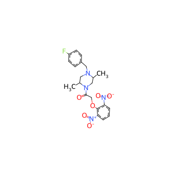 CC1CN(C(=O)COc2c([N+](=O)[O-])cccc2[N+](=O)[O-])C(C)CN1Cc1ccc(F)cc1